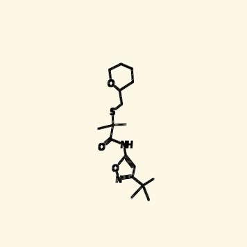 CC(C)(SCC1CCCCO1)C(=O)Nc1cc(C(C)(C)C)no1